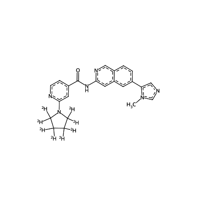 [2H]C1([2H])N(c2cc(C(=O)Nc3cc4cc(-c5cncn5C)ccc4cn3)ccn2)C([2H])([2H])C([2H])([2H])C1([2H])[2H]